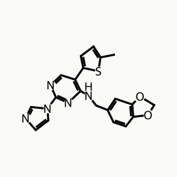 Cc1ccc(-c2cnc(-n3ccnc3)nc2NCc2ccc3c(c2)OCO3)s1